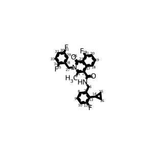 Cc1c(C(=O)NCc2cccc(F)c2C2CC2)c2cccc(F)c2c(=O)n1Cc1cc(F)ccc1F